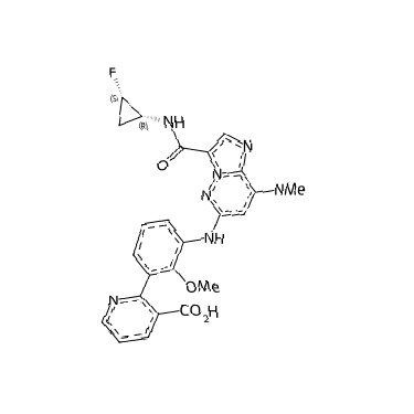 CNc1cc(Nc2cccc(-c3ncccc3C(=O)O)c2OC)nn2c(C(=O)N[C@@H]3C[C@@H]3F)cnc12